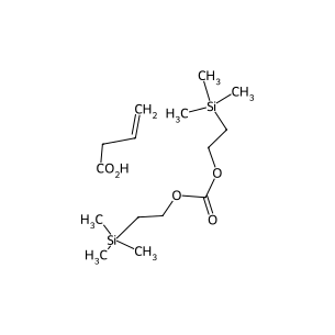 C=CCC(=O)O.C[Si](C)(C)CCOC(=O)OCC[Si](C)(C)C